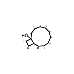 OC12CCCCCCCCCC1CC2